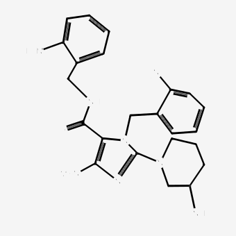 CNc1nc(N2CCCC(N)C2)n(Cc2ccccc2N)c1C(=O)NCc1ccccc1N